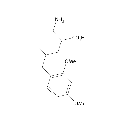 COc1ccc(CC(C)CC(CN)C(=O)O)c(OC)c1